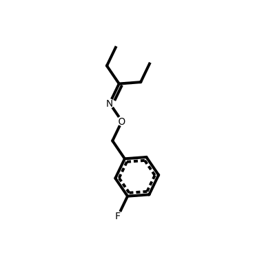 CCC(CC)=NOCc1cccc(F)c1